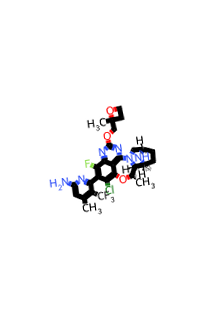 Cc1cc(N)nc(-c2c(Cl)c3c4c(nc(OCC5(C)CCO5)nc4c2F)N2C[C@H]4CC[C@H](N4)[C@H]2[C@H](C)O3)c1C(F)(F)F